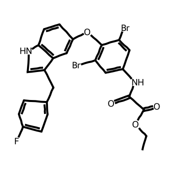 CCOC(=O)C(=O)Nc1cc(Br)c(Oc2ccc3[nH]cc(Cc4ccc(F)cc4)c3c2)c(Br)c1